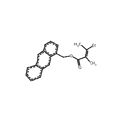 CCC(C)=C(C)C(=O)OCc1cccc2cc3ccccc3cc12